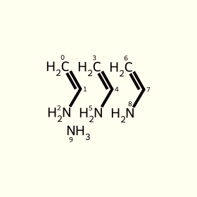 C=CN.C=CN.C=CN.N